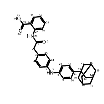 O=C(Cc1ccc(Nc2ccc(C34CC5CC(CC(C5)C3)C4)cc2)cc1)Nc1ccccc1C(=O)O